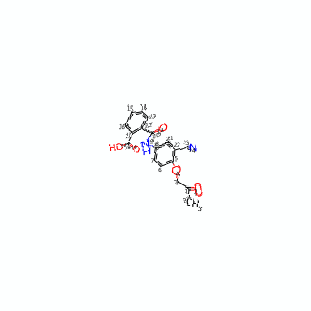 CC(=O)COc1ccc(NC(=O)c2ccccc2C(=O)O)cc1C#N